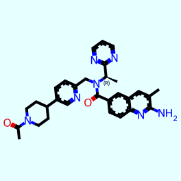 CC(=O)N1CCC(c2ccc(CN(C(=O)c3ccc4nc(N)c(C)cc4c3)[C@H](C)c3ncccn3)nc2)CC1